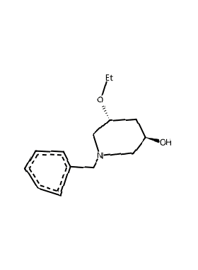 CCO[C@@H]1C[C@@H](O)CN(Cc2ccccc2)C1